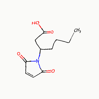 CCCCC(CC(=O)O)N1C(=O)C=CC1=O